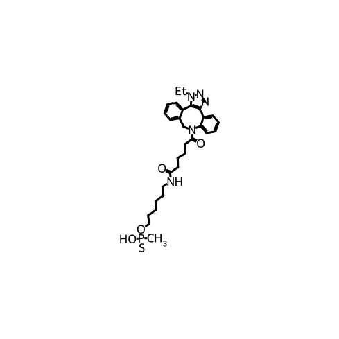 CCn1nnc2c1-c1ccccc1CN(C(=O)CCCCC(=O)NCCCCCCOP(C)(O)=S)c1ccccc1-2